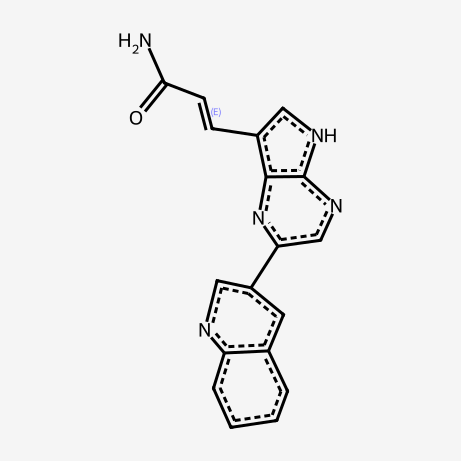 NC(=O)/C=C/c1c[nH]c2ncc(-c3cnc4ccccc4c3)nc12